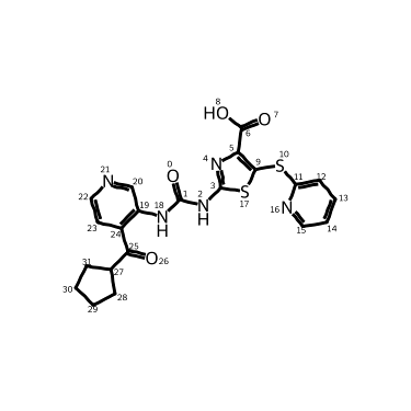 O=C(Nc1nc(C(=O)O)c(Sc2ccccn2)s1)Nc1cnccc1C(=O)C1CCCC1